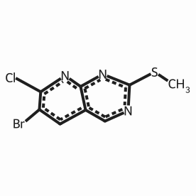 CSc1ncc2cc(Br)c(Cl)nc2n1